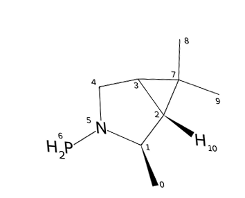 C[C@@H]1[C@@H]2C(CN1P)C2(C)C